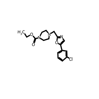 CCOC(=O)N1CCN(Cc2ncc(-c3cccc(Cl)c3)o2)CC1